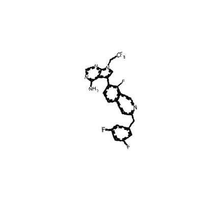 Nc1ncnc2c1c(-c1ccc3cc(Cc4cc(F)cc(F)c4)ncc3c1F)cn2CC(F)(F)F